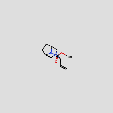 C=CCN1CC2CCC(C1)N2C(=O)OC(C)(C)C